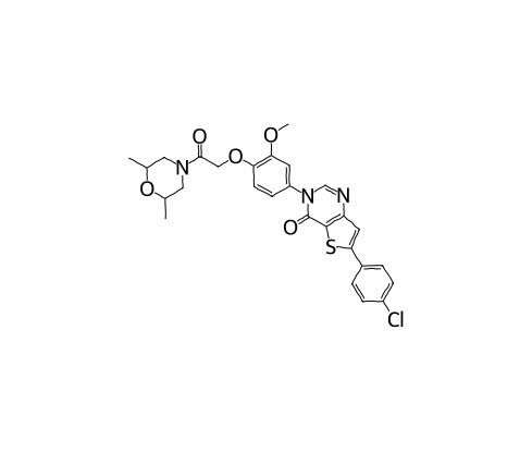 COc1cc(-n2cnc3cc(-c4ccc(Cl)cc4)sc3c2=O)ccc1OCC(=O)N1CC(C)OC(C)C1